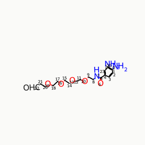 Nc1ccc(C(=O)NCCOCCOCCOCCOCCC=O)cc1N